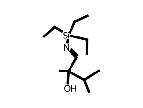 CC[Si](CC)(CC)N=CC(C)(O)C(C)C